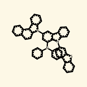 c1ccc(N(c2ccccc2)c2cc(-n3c4ccccc4c4c5ccccc5ccc43)cc3c4ccccc4n(-c4ccc5c(c4)sc4ccccc45)c23)cc1